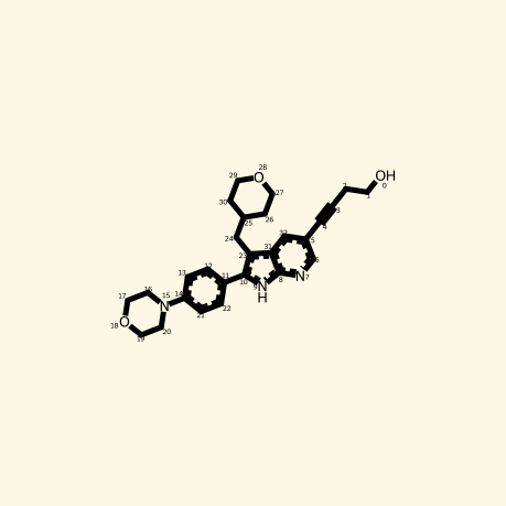 OCCC#Cc1cnc2[nH]c(-c3ccc(N4CCOCC4)cc3)c(CC3CCOCC3)c2c1